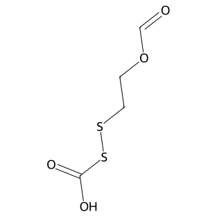 O=COCCSSC(=O)O